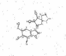 O=Cc1cc2c(N3CC4(CCCC4)C(=O)C3=O)noc2c(F)c1F